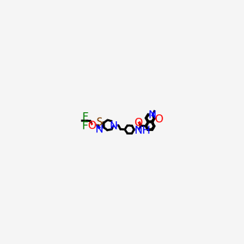 Cn1ccc2c(C(=O)NC3CCC(CCN4CCc5nc(OCC(C)(F)F)sc5CC4)CC3)cccc2c1=O